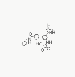 O=C(NCc1ccccc1)c1ccc(-c2cc(Nc3c(O)c(=O)c3=O)cc(C3=NNNN3)c2)cc1